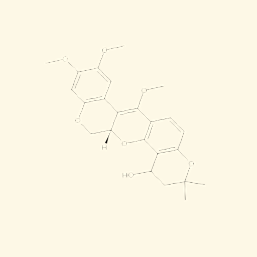 COC1=C2c3cc(OC)c(OC)cc3OC[C@H]2Oc2c1ccc1c2C(O)CC(C)(C)O1